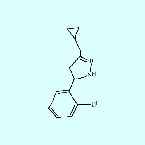 Clc1ccccc1C1CC(C2CC2)=NN1